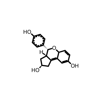 OC1=CC2=C3C[C@@H](O)C[C@@H]3[C@H](c3ccc(O)cc3)OC2C=C1